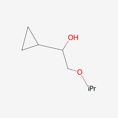 CC(C)OCC(O)C1CC1